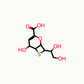 O=C(O)C1=CC(O)C2SC(C(O)CO)C2O1